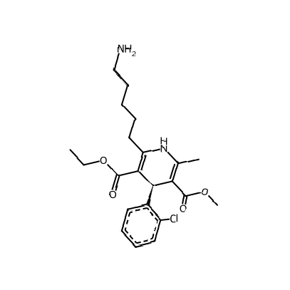 CCOC(=O)C1=C(CCCCCN)NC(C)=C(C(=O)OC)[C@H]1c1ccccc1Cl